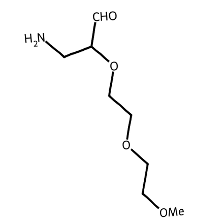 COCCOCCOC(C=O)CN